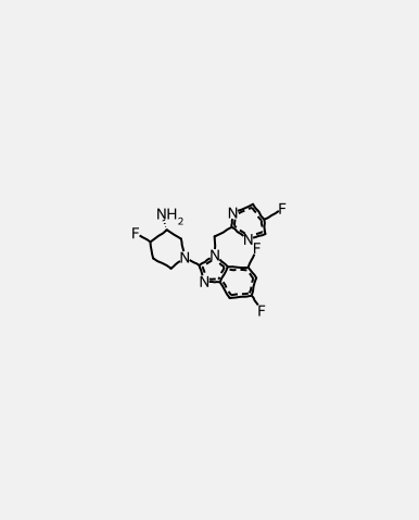 N[C@@H]1CN(c2nc3cc(F)cc(F)c3n2Cc2ncc(F)cn2)CCC1F